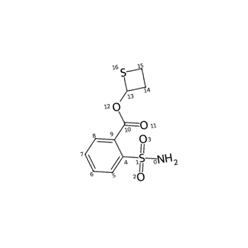 NS(=O)(=O)c1ccccc1C(=O)OC1CCS1